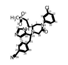 CS(=O)(=O)CC[C@H]1CN(c2cccc(Cl)c2)C(=O)CN1C(Cc1ccc(C#N)cc1)c1cnc[nH]1